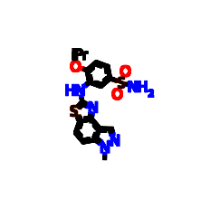 CC(C)Oc1ccc(S(N)(=O)=O)cc1Nc1nc2c(ccc3c2cnn3C)s1